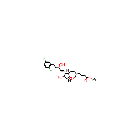 CC(C)OC(=O)CCC[C@H]1CC[C@@H]2[C@@H](/C=C/[C@@H](O)CCc3cc(F)ccc3F)[C@H](O)C[C@@H]2OC1